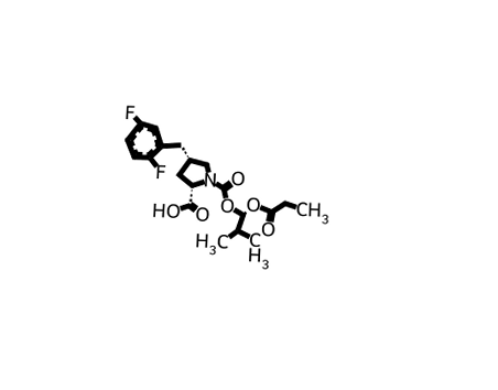 CCC(=O)O[C@@H](OC(=O)N1C[C@@H](Cc2cc(F)ccc2F)C[C@H]1C(=O)O)C(C)C